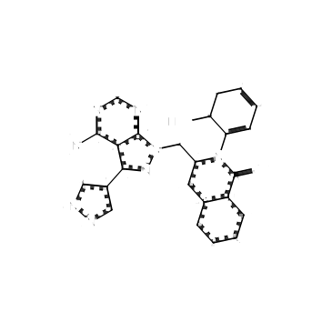 CC1CC=CC=C1n1c(Cn2nc(-c3cn[nH]c3)c3c(N)ncnc32)cc2ccccc2c1=O